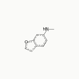 CNc1ccc2ccoc2c1